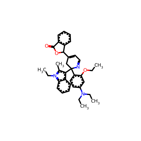 CCOc1cc(N(CC)CC)ccc1C1(c2c(C)n(CC)c3ccccc23)CC(C2OC(=O)c3ccccc32)=CC=N1